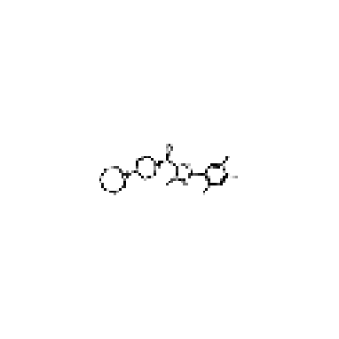 Cc1cc(C)c(-c2nc(C)c(C(=O)N3CCC(N4CCCCCC4)CC3)s2)cc1C